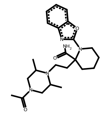 CC(=O)N1CC(C)N(CCC2(C(N)=O)CCCCN2c2nc3ccccc3o2)C(C)C1